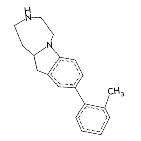 Cc1ccccc1-c1ccc2c(c1)CC1CCNCCN21